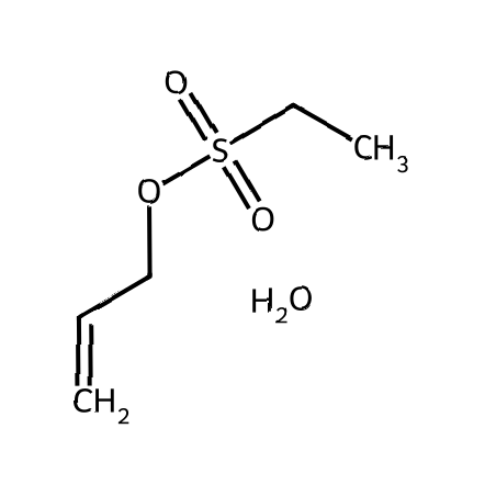 C=CCOS(=O)(=O)CC.O